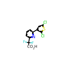 O=C(O)C(F)(F)c1cccc(-c2cc(Cl)sc2Cl)n1